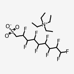 CC[N+](CC)(CC)CC.O=S(=O)([O-])CC(F)C(F)C(F)C(F)C(F)C(F)C(F)C(F)F